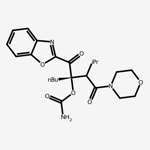 CCCC[C@@](OC(N)=O)(C(=O)c1nc2ccccc2o1)C(C(=O)N1CCOCC1)C(C)C